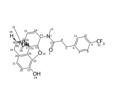 CN(C(=O)CCc1ccc(C(F)(F)F)cc1)C1C=C[C@@]2(O)[C@H]3Cc4ccc(O)c5c4[C@@]2(CCN3C)C1O5